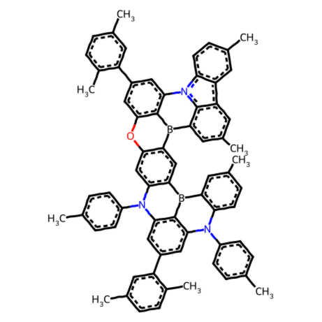 Cc1ccc(N2c3ccc(C)cc3B3c4cc5c(cc4N(c4ccc(C)cc4)c4cc(-c6cc(C)ccc6C)cc2c43)Oc2cc(-c3cc(C)ccc3C)cc3c2B5c2cc(C)cc4c5cc(C)ccc5n-3c24)cc1